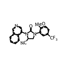 COc1ccc(C(F)(F)F)cc1N1CC(C#N)N(c2cncc3ccccc23)C1=O